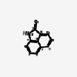 S=C1Nc2cccc3cccc1c23